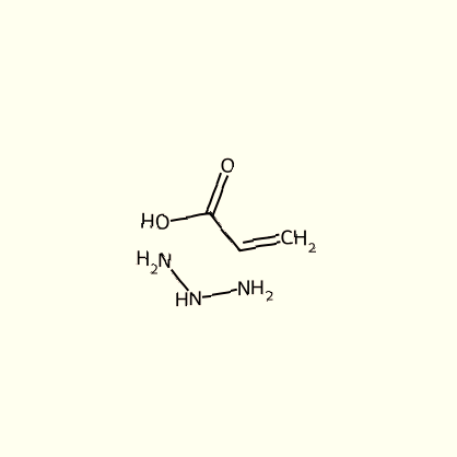 C=CC(=O)O.NNN